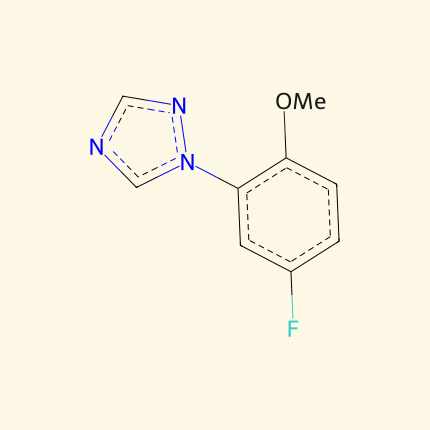 COc1ccc(F)cc1-n1cncn1